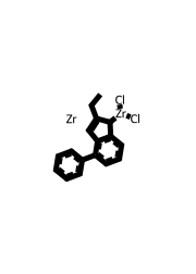 CCC1=Cc2c(-c3ccccc3)cccc2[CH]1[Zr]([Cl])[Cl].[Zr]